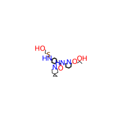 CC(O)COc1cccc(NC(=O)c2ccc(NSCCO)cc2N2CCC3(CC2)CC3)n1